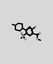 COC(=O)c1cc(S(C)(=O)=O)c(C2CCC(C)CC2)cc1F